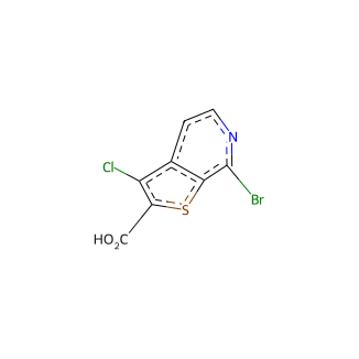 O=C(O)c1sc2c(Br)nccc2c1Cl